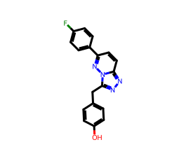 Oc1ccc(Cc2nnc3ccc(-c4ccc(F)cc4)nn23)cc1